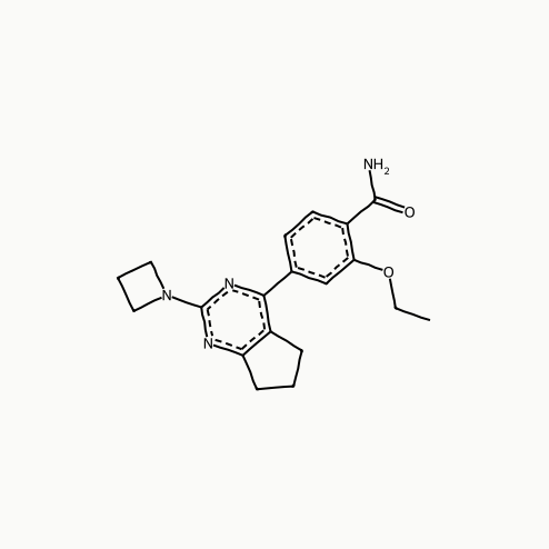 CCOc1cc(-c2nc(N3CCC3)nc3c2CCC3)ccc1C(N)=O